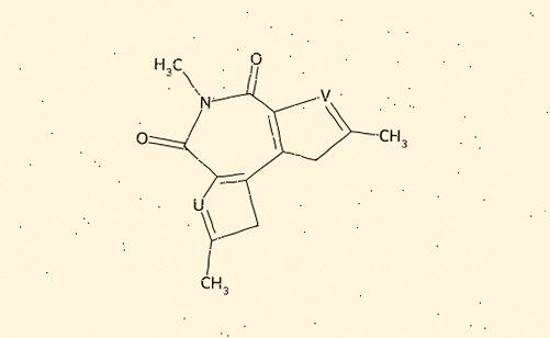 C[C]1=[V][c]2c(c3[c](c(=O)n(C)c2=O)[U]=[C](C)C3)C1